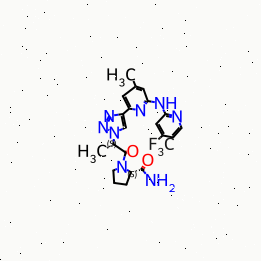 Cc1cc(Nc2cc(C(F)(F)F)ccn2)nc(-c2cn([C@@H](C)C(=O)N3CCC[C@H]3C(N)=O)nn2)c1